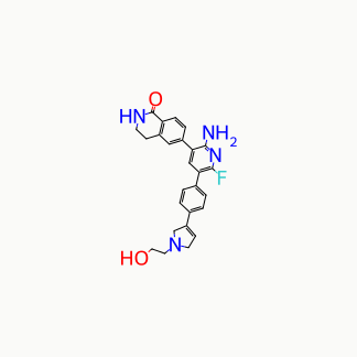 Nc1nc(F)c(-c2ccc(C3=CCN(CCO)C3)cc2)cc1-c1ccc2c(c1)CCNC2=O